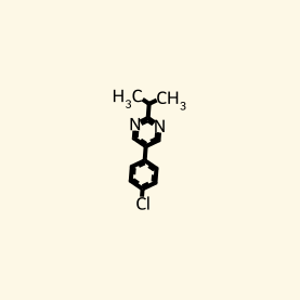 CC(C)c1ncc(-c2ccc(Cl)cc2)cn1